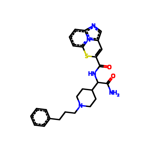 NC(=O)C(NC(=O)C1=Cc2cnc3cccc(n23)S1)C1CCN(CCCc2ccccc2)CC1